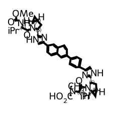 COC(=O)N[C@H](C(=O)N1[C@@H]2C[C@@H]2C[C@H]1c1nc(-c2ccc3cc(-c4ccc(-c5c[nH]c([C@@H]6C[C@H]7C[C@H]7N6C(=O)[C@H](C(C)C)N(C)C(=O)O)n5)cc4)ccc3c2)c[nH]1)C(C)C